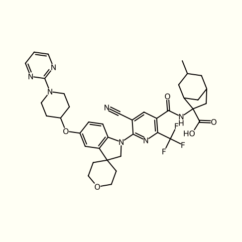 CC1CC2CC(C1)C(NC(=O)c1cc(C#N)c(N3CC4(CCOCC4)c4cc(OC5CCN(c6ncccn6)CC5)ccc43)nc1C(F)(F)F)(C(=O)O)C2